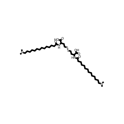 CN(C)CCCCCCCCCCCCCC(=O)NC(CCSSCCC(NC(=O)CCCCCCCCCCCCCN(C)C)C(=O)O)C(=O)O